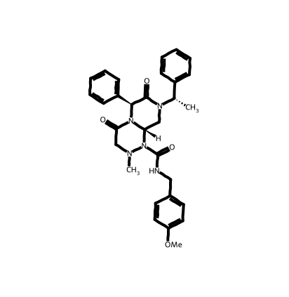 COc1ccc(CNC(=O)N2[C@H]3CN([C@@H](C)c4ccccc4)C(=O)[C@H](c4ccccc4)N3C(=O)CN2C)cc1